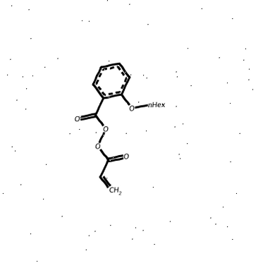 C=CC(=O)OOC(=O)c1ccccc1OCCCCCC